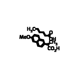 CCCCCC(=O)O.COc1ccc2cc([C@H](C)C(=O)O)ccc2c1